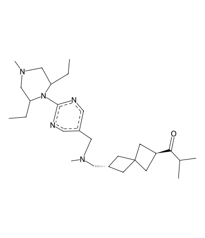 CCC1CN(C)CC(CC)N1c1ncc(CN(C)C[C@H]2CC3(C2)C[C@H](C(=O)C(C)C)C3)cn1